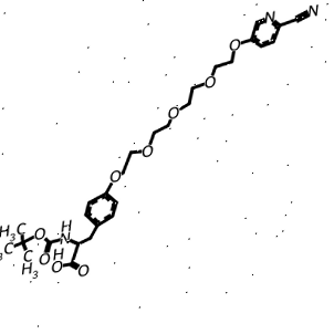 CC(C)(C)OC(=O)NC(Cc1ccc(OCCOCCOCCOCCOc2ccc(C#N)nc2)cc1)C(=O)O